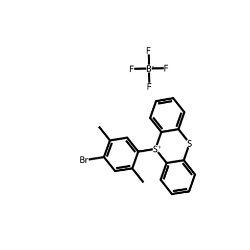 Cc1cc([S+]2c3ccccc3Sc3ccccc32)c(C)cc1Br.F[B-](F)(F)F